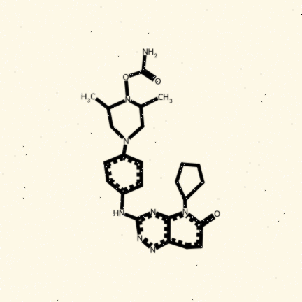 CC1CN(c2ccc(Nc3nnc4ccc(=O)n(C5CCCC5)c4n3)cc2)CC(C)N1OC(N)=O